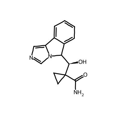 NC(=O)C1([C@H](O)C2c3ccccc3-c3cncn32)CC1